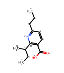 CCCc1ccc(C(=O)O)c(C(C)CC)n1